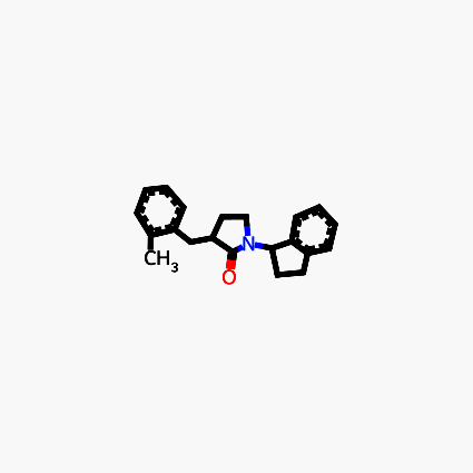 Cc1ccccc1CC1CCN(C2CCc3ccccc32)C1=O